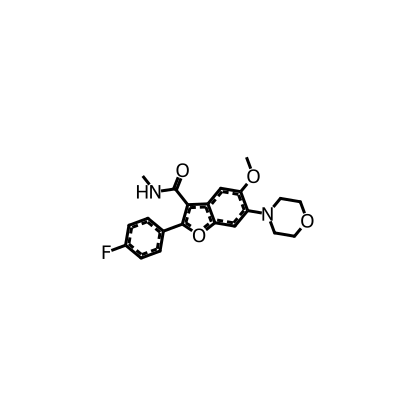 CNC(=O)c1c(-c2ccc(F)cc2)oc2cc(N3CCOCC3)c(OC)cc12